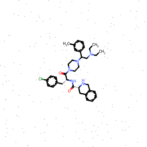 CCN(CC)CC(c1cccc(C)c1)N1CCN(C(=O)[C@@H](Cc2ccc(Cl)cc2)NC(=O)[C@H]2Cc3ccccc3CN2)CC1